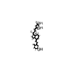 C=C1CC[C@H](O)C/C1=C/C=C1\CCC[C@@]2(C)C1CC[C@@H]2[C@H](C)CCC(O)CC(C)(C)O